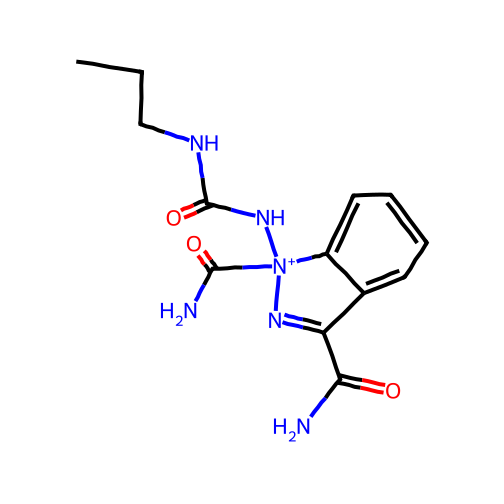 CCCNC(=O)N[N+]1(C(N)=O)N=C(C(N)=O)c2ccccc21